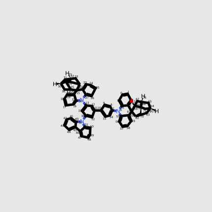 c1ccc2c(c1)N(c1ccc(-c3cc(N4c5ccccc5C5(c6ccccc64)C4C[C@H]6C[C@@H](C4)C[C@@H]5C6)cc(-n4c5ccccc5c5ccccc54)c3)cc1)c1ccccc1C21C2C[C@H]3C[C@@H]4C[C@@H]1[C@@]4(C2)C3